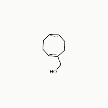 OCC1=CCCC=CCC1